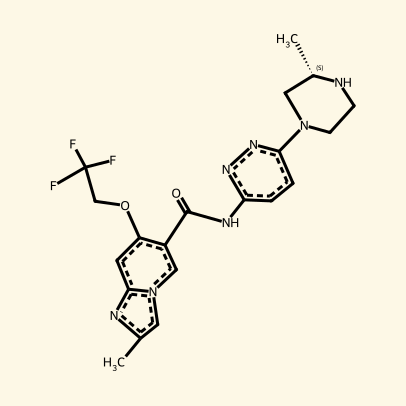 Cc1cn2cc(C(=O)Nc3ccc(N4CCN[C@@H](C)C4)nn3)c(OCC(F)(F)F)cc2n1